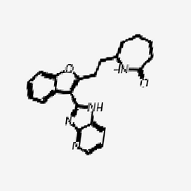 O=C1CCCCC(CCc2oc3ccccc3c2-c2nc3ncccc3[nH]2)N1